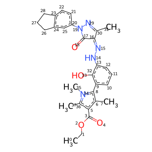 CCOC(=O)c1c(C)c(-c2cccc(N/N=C3\C(=O)N(c4ccc5c(c4)CCC5)N=C3C)c2O)n(C)c1C